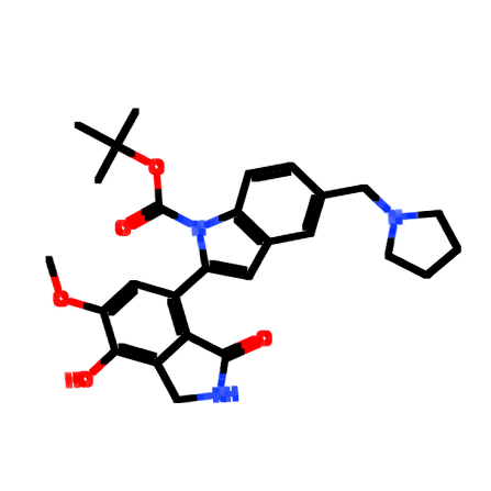 COc1cc(-c2cc3cc(CN4CCCC4)ccc3n2C(=O)OC(C)(C)C)c2c(c1O)CNC2=O